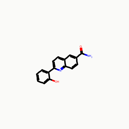 NC(=O)c1ccc2nc(-c3ccccc3O)ccc2c1